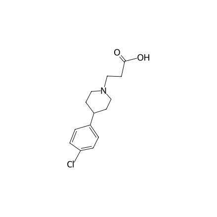 O=C(O)CCN1CCC(c2ccc(Cl)cc2)CC1